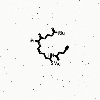 C#CCCC(=C)NC(CC/C=C\C=C(\C(=C)CCCC(=C)C(C)(C)C)C(C)C)SC